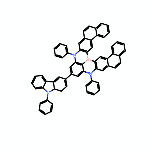 C1=C(c2cc3c4c(c2)N(c2ccccc2)c2cc5ccc6ccccc6c5cc2B4c2cc4c(ccc5ccccc54)cc2N3c2ccccc2)C=C2c3ccccc3N(c3ccccc3)C2C1